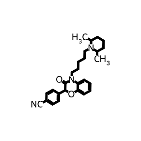 CC1CCCC(C)N1CCCCCN1C(=O)C(c2ccc(C#N)cc2)Oc2ccccc21